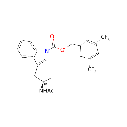 CC(=O)N[C@H](C)Cc1cn(C(=O)OCc2cc(C(F)(F)F)cc(C(F)(F)F)c2)c2ccccc12